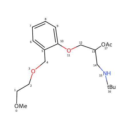 COCCOCc1ccccc1OCC(CNC(C)(C)C)OC(C)=O